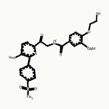 COc1cc(C(=O)NCC(=O)c2ccc(OC)c(-c3ccc(S(C)(=O)=O)cc3)n2)ccc1OCCO